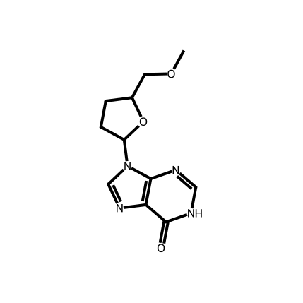 COCC1CCC(n2cnc3c(=O)[nH]cnc32)O1